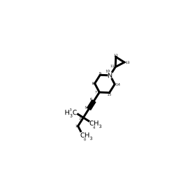 CCC(C)(C)C#CC1CCN(C2CC2)CC1